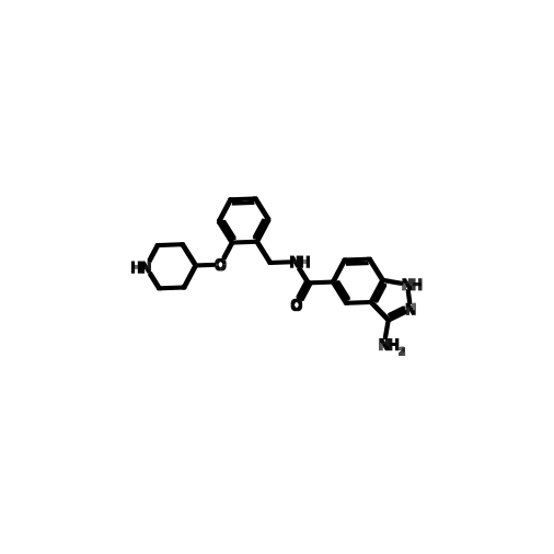 Nc1n[nH]c2ccc(C(=O)NCc3ccccc3OC3CCNCC3)cc12